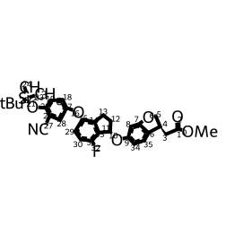 COC(=O)C[C@@H]1COc2cc(O[C@@H]3CCc4c(Oc5ccc(O[Si](C)(C)C(C)(C)C)c(C#N)c5)ccc(F)c43)ccc21